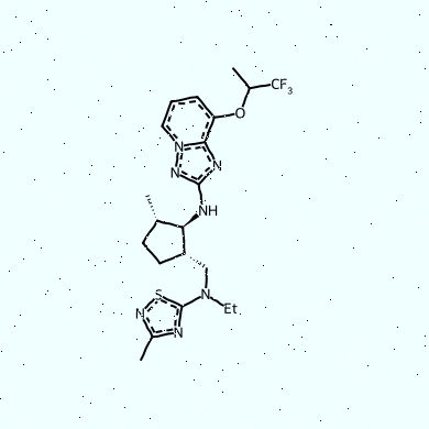 CCN(C[C@@H]1CC[C@H](C)[C@H]1Nc1nc2c(OC(C)C(F)(F)F)cccn2n1)c1nc(C)ns1